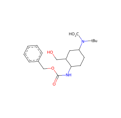 CC(C)(C)N(C(=O)O)C1CCC(NC(=O)OCc2ccccc2)C(CO)C1